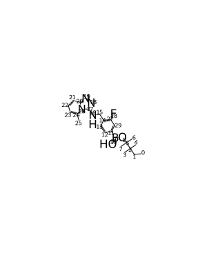 CCC(C)(C)C(C)(C)OB(O)c1ccc(CNc2nnc3cccc(C)n23)c(F)c1